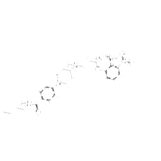 CCCCNC(=O)c1ccc(N2CCC(NCCC(O)Oc3cccc([N+](=O)[O-])c3N)CC2)cc1